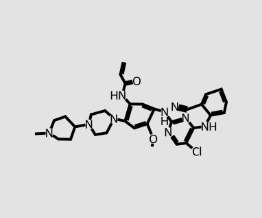 C=CC(=O)Nc1cc(Nc2ncc(Cl)c(Nc3ccccc3C#N)n2)c(OC)cc1N1CCN(C2CCN(C)CC2)CC1